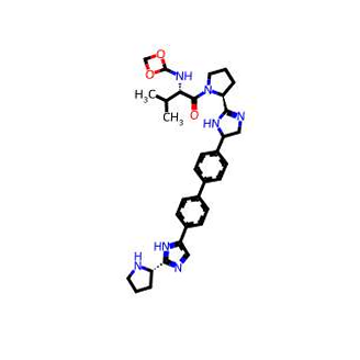 CC(C)[C@H](NC1OCO1)C(=O)N1CCC[C@H]1C1=NCC(c2ccc(-c3ccc(-c4cnc([C@@H]5CCCN5)[nH]4)cc3)cc2)N1